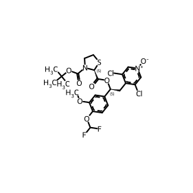 COc1cc([C@H](Cc2c(Cl)c[n+]([O-])cc2Cl)OC(=O)[C@@H]2SCCN2C(=O)OC(C)(C)C)ccc1OC(F)F